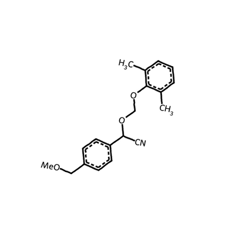 COCc1ccc(C(C#N)OCOc2c(C)cccc2C)cc1